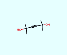 CC(C)(O)C#CC(C)(C)O